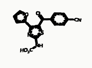 N#Cc1ccc(C(=O)c2sc(NC(=O)O)nc2-c2ccco2)cc1